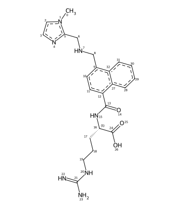 Cn1ccnc1CNCc1ccc(C(=O)N[C@@H](CCCNC(=N)N)C(=O)O)c2ccccc12